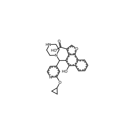 O=C(O)c1coc2c1c(C(c1ccnc(OC3CC3)c1)N1CCNCC1)c(O)c1ccccc12